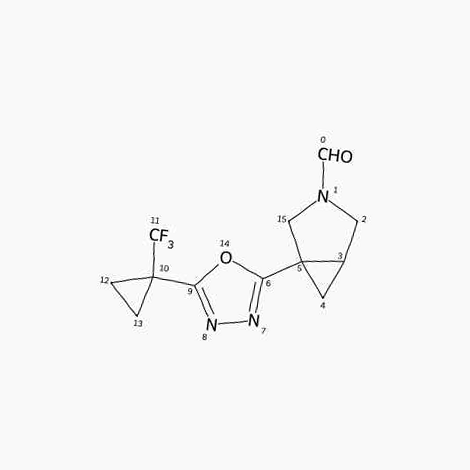 O=CN1CC2CC2(c2nnc(C3(C(F)(F)F)CC3)o2)C1